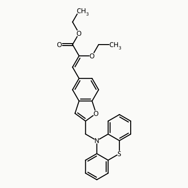 CCOC(=O)C(=Cc1ccc2oc(CN3c4ccccc4Sc4ccccc43)cc2c1)OCC